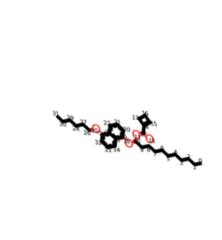 CCCCCCCCCCC(OC(=O)C1=CCC1)Oc1cccc2c(OCCCCCC)cccc12